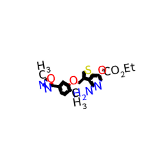 CCOC(=O)Oc1cnc(N)c2c(COc3cc(-c4nnc(C)o4)ccc3C)csc12